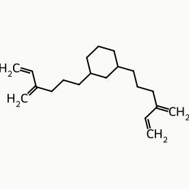 C=CC(=C)CCCC1CCCC(CCCC(=C)C=C)C1